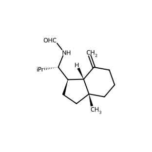 C=C1CCC[C@]2(C)CC[C@@H]([C@@H](NC=O)C(C)C)[C@H]12